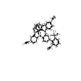 N#Cc1ccc2c(c1)c1ccccc1n2-c1ccc(-c2c(C#N)cccc2C(F)(F)F)cc1-n1c2ccccc2c2cc(C#N)ccc21